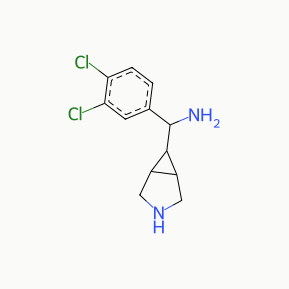 NC(c1ccc(Cl)c(Cl)c1)C1C2CNCC21